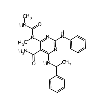 CNC(=O)N(C)c1nc(Nc2ccccc2)nc(NC(C)c2ccccc2)c1C(N)=O